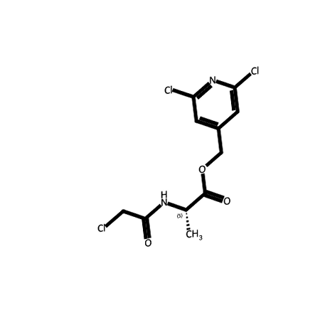 C[C@H](NC(=O)CCl)C(=O)OCc1cc(Cl)nc(Cl)c1